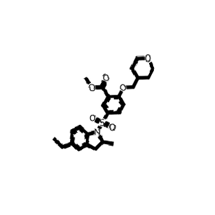 CCc1ccc2c(c1)CC(C)N2S(=O)(=O)c1ccc(OCC2CCOCC2)c(C(=O)OC)c1